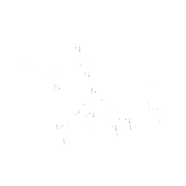 COc1ccc(OC)c(CCNC(=O)N[C@H](Cc2cc(Br)c(O)c(Br)c2)C(=O)N[C@@H](CCCCNC(=O)OCc2ccccc2)C(=O)N2CCN(c3ccncc3)CC2)c1